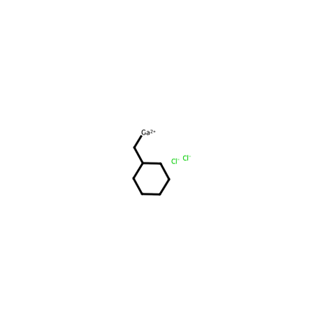 [Cl-].[Cl-].[Ga+2][CH2]C1CCCCC1